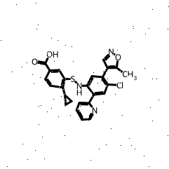 Cc1oncc1-c1cc(NSc2cc(C(=O)O)ccc2C2CC2)c(-c2ccccn2)cc1Cl